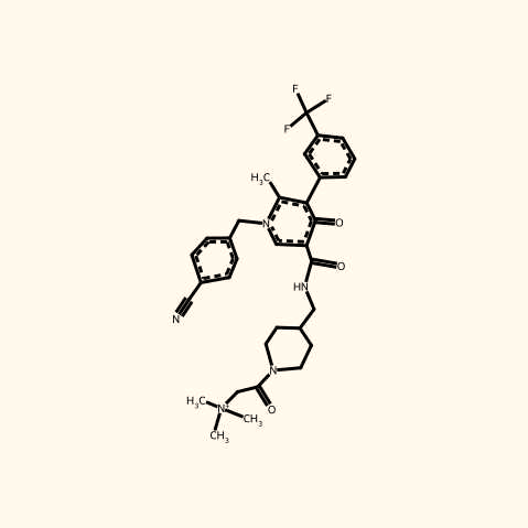 Cc1c(-c2cccc(C(F)(F)F)c2)c(=O)c(C(=O)NCC2CCN(C(=O)C[N+](C)(C)C)CC2)cn1Cc1ccc(C#N)cc1